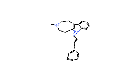 CN1CCc2c(n(CCc3ccccc3)c3ccccc23)CC1